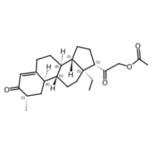 CC[C@]12CC[C@H]3[C@@H](CCC4=CC(=O)[C@@H](C)C[C@@H]43)[C@@H]1CC[C@@H]2C(=O)COC(C)=O